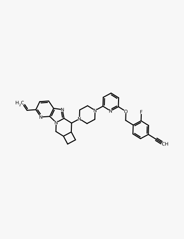 C#Cc1ccc(COc2cccc(N3CCN(C4c5nc6ccc(C=C)nc6n5CC5CCC54)CC3)n2)c(F)c1